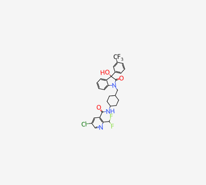 O=C(NC1CCC(CN2C(=O)C(O)(c3cccc(C(F)(F)F)c3)c3ccccc32)CC1)c1cc(Cl)cnc1C(F)F